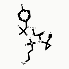 CCCCS(=O)(=O)C[C@H](N[C@@H](c1ccc(F)cc1)C(F)(F)F)C(=O)NC1(C#N)CC1